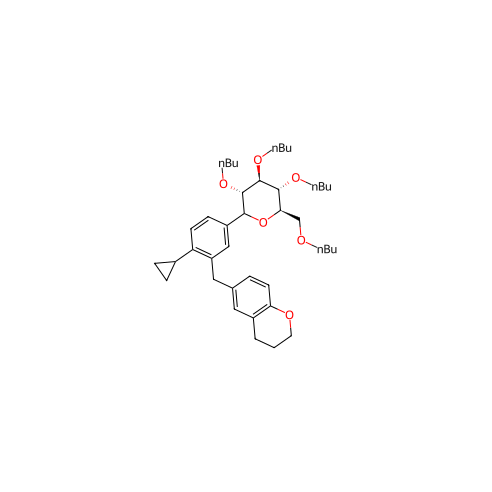 CCCCOC[C@H]1OC(c2ccc(C3CC3)c(Cc3ccc4c(c3)CCCO4)c2)[C@H](OCCCC)[C@@H](OCCCC)[C@@H]1OCCCC